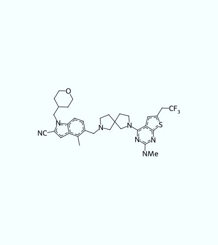 CNc1nc(N2CCC3(CCN(Cc4ccc5c(cc(C#N)n5CC5CCOCC5)c4C)C3)C2)c2cc(CC(F)(F)F)sc2n1